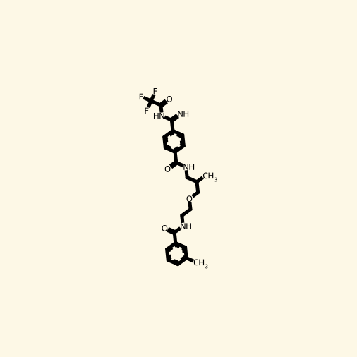 Cc1cccc(C(=O)NCCOCC(C)CNC(=O)c2ccc(C(=N)NC(=O)C(F)(F)F)cc2)c1